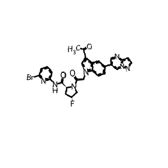 CC(=O)c1cn(CC(=O)N2C[C@H](F)C[C@H]2C(=O)Nc2cccc(Br)n2)c2ccc(-c3cnc4ccnn4c3)cc12